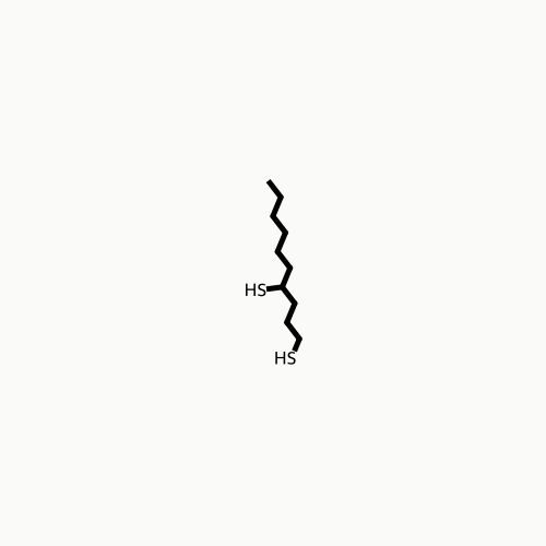 CCCCCCC(S)CCCS